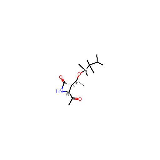 CC(=O)[C@H]1NC(=O)[C@@H]1[C@@H](C)O[Si](C)(C)C(C)(C)C(C)C